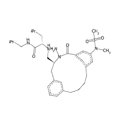 CC(C)CNC(=O)[C@H](CC(C)C)NC[C@@H]1Cc2cccc(c2)CCCCc2cc(cc(N(C)S(C)(=O)=O)c2)C(=O)N1N